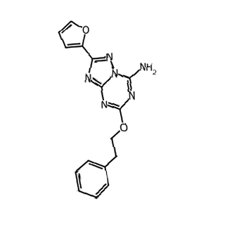 Nc1nc(OCCc2ccccc2)nc2nc(-c3ccco3)nn12